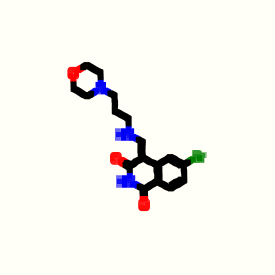 O=C1NC(=O)c2ccc(Br)cc2C1=CNCCCN1CCOCC1